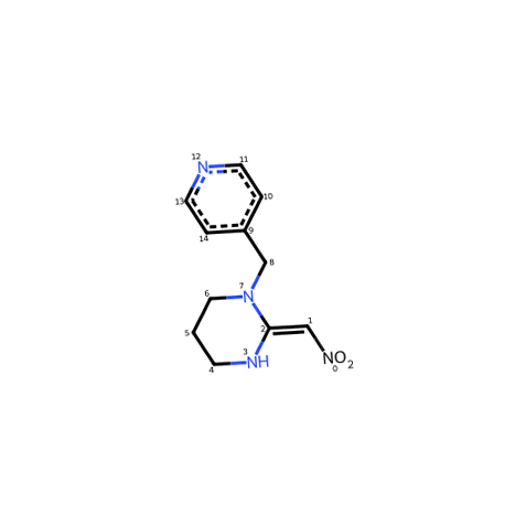 O=[N+]([O-])C=C1NCCCN1Cc1ccncc1